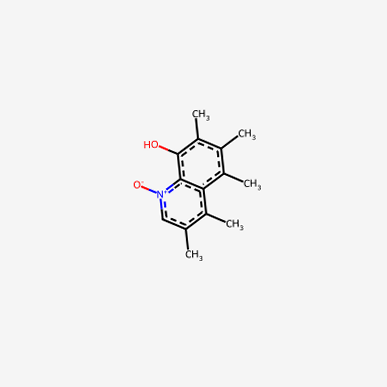 Cc1c[n+]([O-])c2c(O)c(C)c(C)c(C)c2c1C